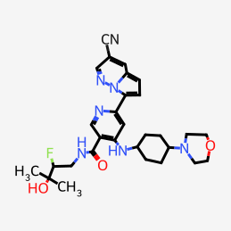 CC(C)(O)C(F)CNC(=O)c1cnc(-c2ccc3cc(C#N)cnn23)cc1NC1CCC(N2CCOCC2)CC1